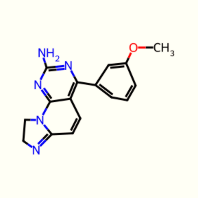 COc1cccc(-c2nc(N)nc3c2C=CC2=NCCN23)c1